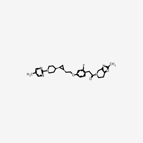 Cc1cnc(N2CCC([C@H]3C[C@H]3CCOc3ccc(CC(=O)N4CCc5oc(C)nc5C4)c(F)c3)CC2)nc1